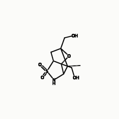 CC1C2NS(=O)(=O)C3CC1(CO)OC23CO